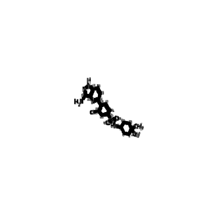 CC1(O)CCC(NS(=O)(=O)c2ccc(-c3ccc4[nH]nc(N)c4n3)c(Cl)c2)CC1